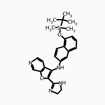 CC(C)(C)[Si](C)(C)Oc1cccc2cc(Nc3c(C4=NCCN4)oc4cnccc34)ccc12